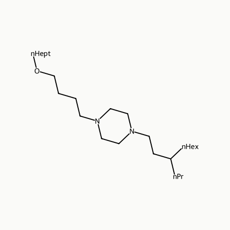 CCCCCCCOCCCCN1CCN(CCC(CCC)CCCCCC)CC1